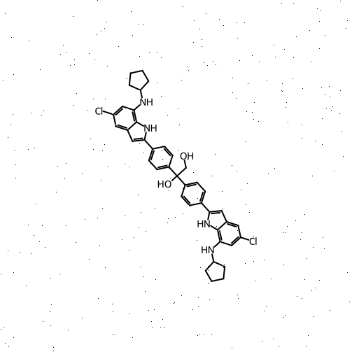 OCC(O)(c1ccc(-c2cc3cc(Cl)cc(NC4CCCC4)c3[nH]2)cc1)c1ccc(-c2cc3cc(Cl)cc(NC4CCCC4)c3[nH]2)cc1